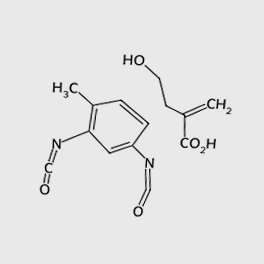 C=C(CCO)C(=O)O.Cc1ccc(N=C=O)cc1N=C=O